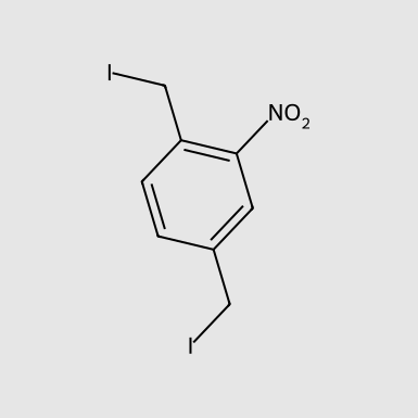 O=[N+]([O-])c1cc(CI)ccc1CI